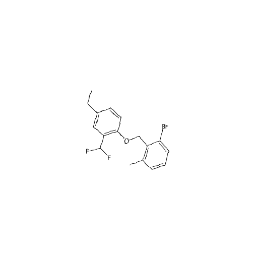 CCc1ccc(OCc2c(C)cccc2Br)c(C(F)F)c1